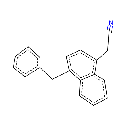 N#CCc1ccc(Cc2ccccc2)c2ccccc12